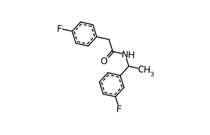 CC(NC(=O)Cc1ccc(F)cc1)c1cccc(F)c1